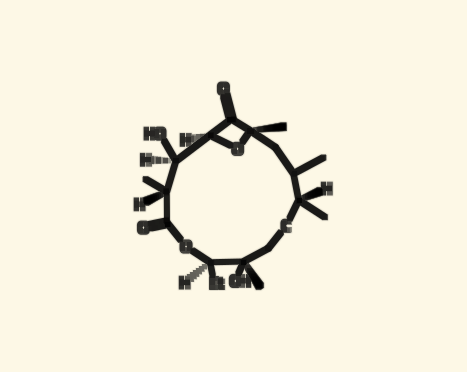 CC[C@H]1OC(=O)[C@H](C)[C@@H](O)[C@@H]2O[C@@](C)(CC(C)[C@H](C)CC[C@]1(C)O)C2=O